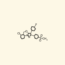 CS(=O)(=O)c1ccc(-c2nn3c(c2-c2ccc(F)cc2)OCc2c(Cl)cccc2-3)cc1